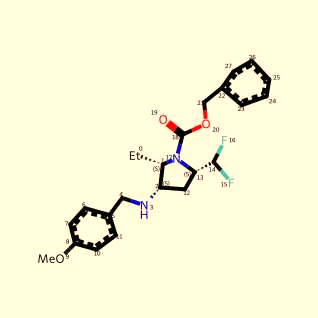 CC[C@H]1[C@@H](NCc2ccc(OC)cc2)C[C@@H](C(F)F)N1C(=O)OCc1ccccc1